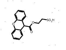 O=C(OCCS(=O)(=O)O)C1c2ccccc2Oc2ccccc21